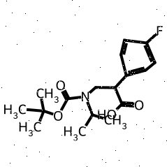 CC(C)N(CC(C(=O)O)c1ccc(F)cc1)C(=O)OC(C)(C)C